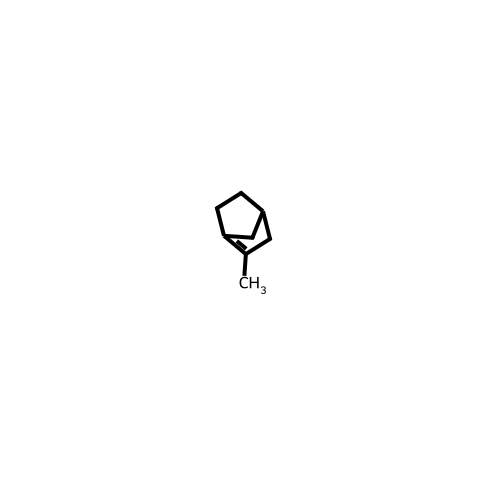 CC1=C2CCC(C1)C2